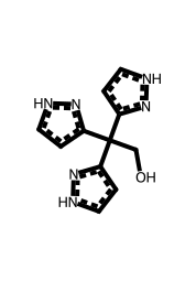 OCC(c1cc[nH]n1)(c1cc[nH]n1)c1cc[nH]n1